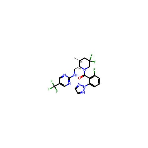 C[C@@H]1CC(F)(F)CN(C(=O)c2c(F)cccc2-n2nccn2)[C@@H]1CNc1ncc(C(F)(F)F)cn1